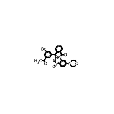 CC(=O)c1cc(Br)cc(-c2nn(-c3cc(N4CCOCC4)ccc3[N+](=O)[O-])c(=O)c3ccccc23)c1